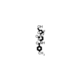 Cc1ccc(C(=O)Nc2ccn(C3OC(CO)CC3(F)F)c(=O)n2)cc1